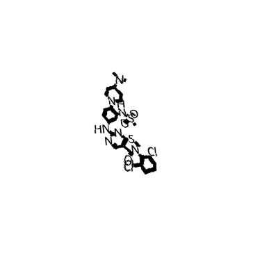 CN(C)C1CCN(c2ccc(Nc3ncc4c(n3)SCN(c3c(Cl)cccc3Cl)C4=O)cc2NS(C)(=O)=O)CC1